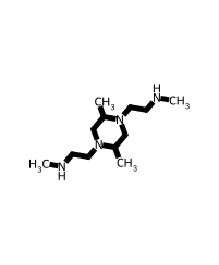 CNCCN1CC(C)N(CCNC)CC1C